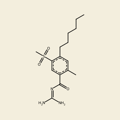 CCCCCCc1cc(C)c(C(=O)N=C(N)N)cc1S(C)(=O)=O